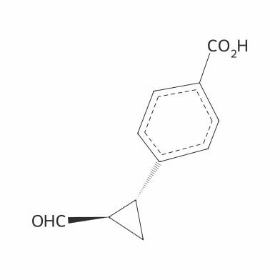 O=C[C@@H]1C[C@H]1c1ccc(C(=O)O)cc1